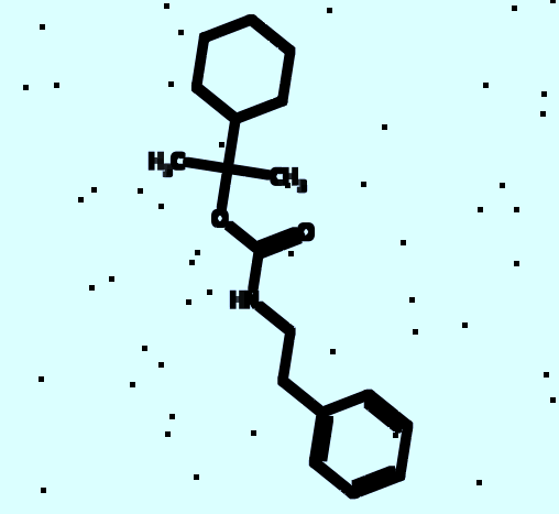 CC(C)(OC(=O)NCCc1ccccc1)C1CCCCC1